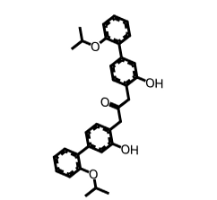 CC(C)Oc1ccccc1-c1ccc(CC(=O)Cc2ccc(-c3ccccc3OC(C)C)cc2O)c(O)c1